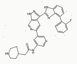 O=C(CC1CCNCC1)Nc1cncc(-c2cc3c(-c4nc5c(-c6ccccc6F)cccc5[nH]4)n[nH]c3cn2)c1